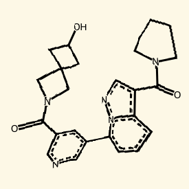 O=C(c1cncc(-c2cccc3c(C(=O)N4CCCCC4)cnn23)c1)N1CC2(CC(O)C2)C1